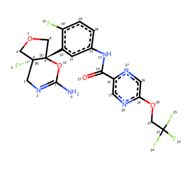 NC1=NC[C@@]2(F)COC[C@]2(c2cc(NC(=O)c3cnc(OCC(F)(F)F)cn3)ccc2F)O1